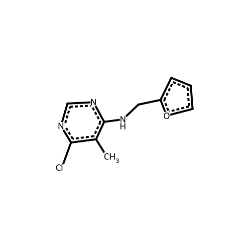 Cc1c(Cl)ncnc1NCc1ccco1